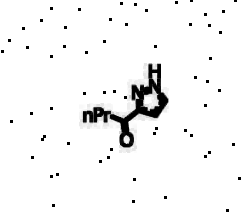 CCCC(=O)c1cc[nH]n1